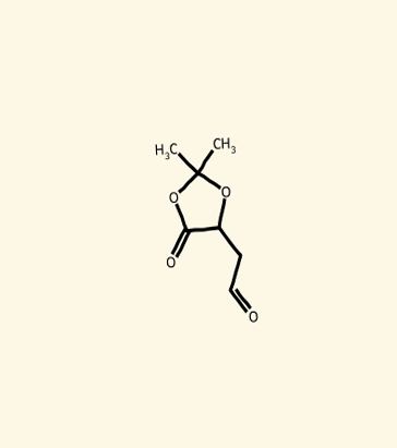 CC1(C)OC(=O)C(CC=O)O1